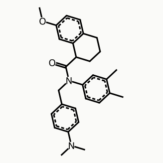 COc1ccc2c(c1)C(C(=O)N(Cc1ccc(N(C)C)cc1)c1ccc(C)c(C)c1)CCC2